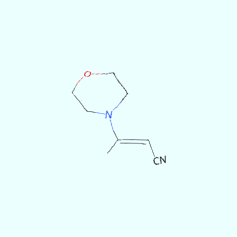 CC(=CC#N)N1CCOCC1